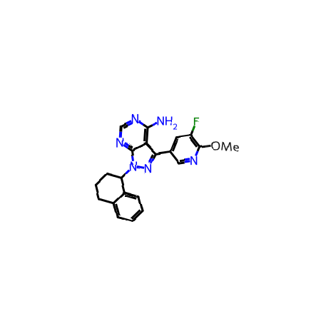 COc1ncc(-c2nn(C3CCCc4ccccc43)c3ncnc(N)c23)cc1F